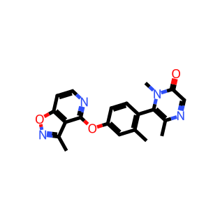 Cc1cc(Oc2nccc3onc(C)c23)ccc1-c1c(C)ncc(=O)n1C